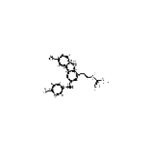 N=C(N)NCCc1cc(Nc2ccc(Cl)nc2)cc2c1[nH]c1ccc(Cl)cc12